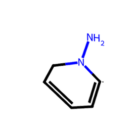 NN1[C]=CC=CC1